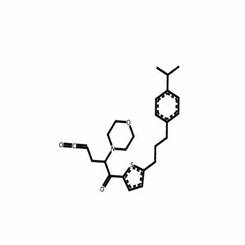 CC(C)c1ccc(CCCc2ccc(C(=O)C(CC=C=O)N3CCOCC3)s2)cc1